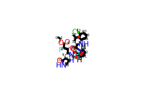 CCOC(=O)/C(F)=C/[C@@H](C[C@@H]1CCNC1=O)NC(=O)[C@H]1[C@@H]2CC[C@@H](CC2(F)F)N1C(=O)[C@H](CC(C)C)Nc1cccc(Cl)c1